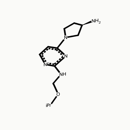 CC(C)OCNc1nccc(N2CC[C@@H](N)C2)n1